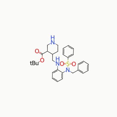 CC(C)(C)OC(=O)C1CNCCC1CNc1ccccc1N(Cc1ccccc1)S(=O)(=O)c1ccccc1